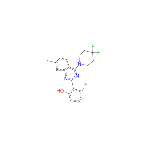 Cc1ccc2c(N3CCC(F)(F)CC3)nc(-c3c(O)cccc3F)nc2c1